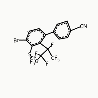 N#Cc1ccc(-c2c[c]c(Br)c(SC(F)(F)F)c2C(F)(C(F)(F)F)C(F)(F)C(F)(F)F)cc1